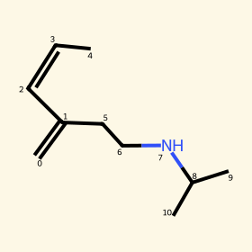 C=C(/C=C\C)CCNC(C)C